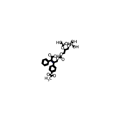 CS(=O)(=O)c1ccc(/C(COC(=O)OCC(CON(O)O)ON(O)O)=C(/C(=O)O)c2ccccc2)cc1